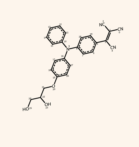 N#CC(C#N)=C(C#N)c1ccc(N(c2ccccc2)c2ccc(OCC(O)CO)cc2)cc1